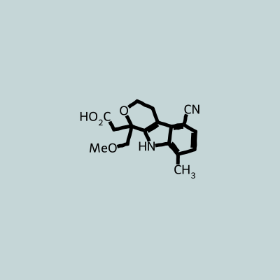 COCC1(CC(=O)O)OCCc2c1[nH]c1c(C)ccc(C#N)c21